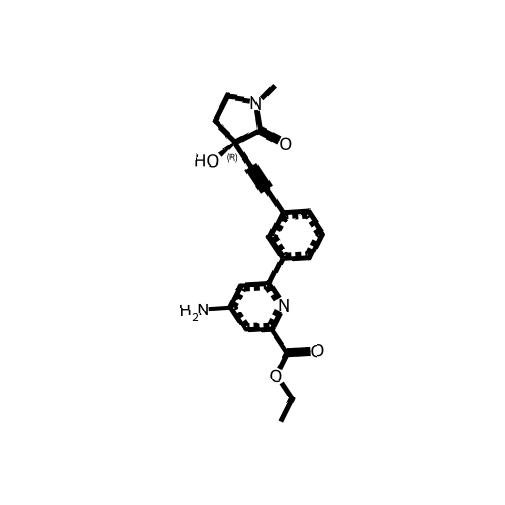 CCOC(=O)c1cc(N)cc(-c2cccc(C#C[C@]3(O)CCN(C)C3=O)c2)n1